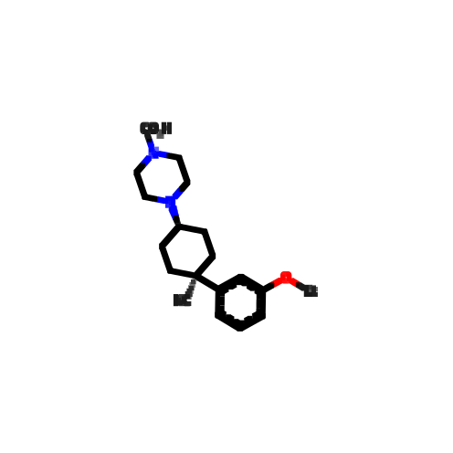 CCOc1cccc([C@]2(C#N)CC[C@H](N3CCN(C(=O)O)CC3)CC2)c1